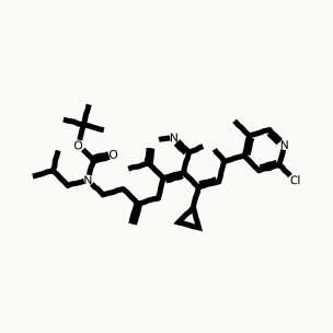 C=C(CCN(CC(C)C)C(=O)OC(C)(C)C)C/C(C(=C)C)=C(C(=C/C(C)c1cc(Cl)ncc1C)\C1CC1)/C(C)=N\C